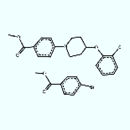 COC(=O)c1ccc(Br)cc1.COC(=O)c1ccc(N2CCC(Oc3ccccc3Cl)CC2)cc1